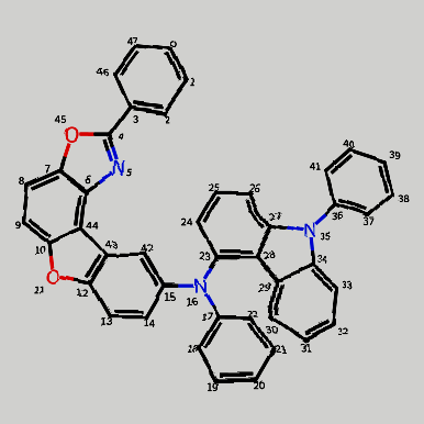 c1ccc(-c2nc3c(ccc4oc5ccc(N(c6ccccc6)c6cccc7c6c6ccccc6n7-c6ccccc6)cc5c43)o2)cc1